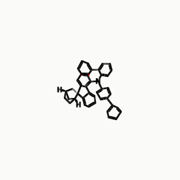 c1ccc(-c2ccc(N(c3ccccc3-c3ccccc3)c3cccc4c3-c3ccccc3[C@]43C[C@H]4CC[C@@H]3C4)cc2)cc1